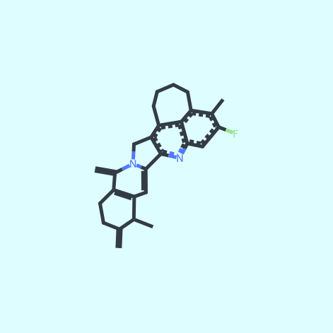 C=C1CCC2=C(C=C3c4nc5cc(F)c(C)c6c5c(c4CN3C2=C)CCCC6)C1C